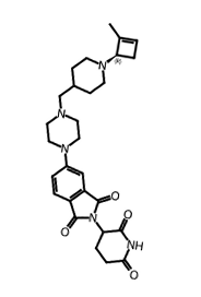 CC1=CC[C@H]1N1CCC(CN2CCN(c3ccc4c(c3)C(=O)N(C3CCC(=O)NC3=O)C4=O)CC2)CC1